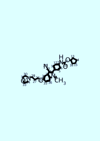 CCn1c(-c2ccc(NC(=O)OC3CCCC3)cc2)c(C#N)c2cc(OCCCN3CCOCC3)ccc21